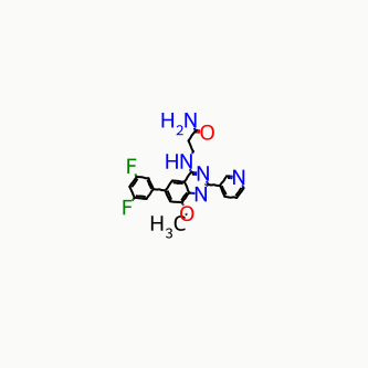 COc1cc(-c2cc(F)cc(F)c2)cc2c(NCCC(N)=O)nc(-c3cccnc3)nc12